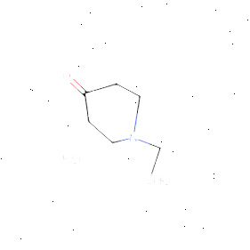 Cl.O=[C]CN1CCC(=O)CC1